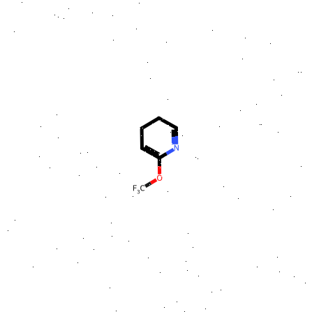 FC(F)(F)OC1=CCCC=N1